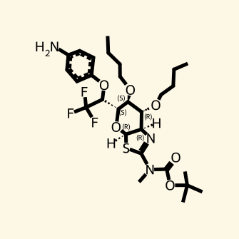 CCCCO[C@@H]1[C@H]2N=C(N(C)C(=O)OC(C)(C)C)S[C@H]2O[C@H](C(Oc2ccc(N)cc2)C(F)(F)F)[C@H]1OCCCC